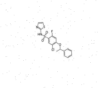 CC(Oc1cc(F)c(S(=O)(=O)Nc2nccs2)cc1Cl)c1ccccc1